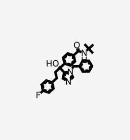 CC(C)(C)NC(=O)c1ccc(C(O)(CCc2ccc(F)cc2)c2cncn2Cc2ccccc2)cc1